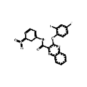 O=C(NC1=CC=CC(=S(=O)=O)C1)c1nc2ccccc2nc1Oc1ccc(F)cc1F